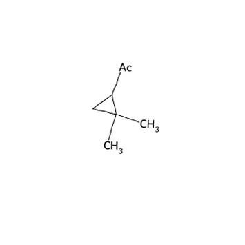 CC(=O)C1CC1(C)C